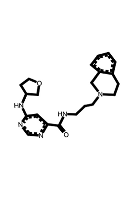 O=C(NCCCN1CCc2ccccc2C1)c1cc(NC2CCOC2)ncn1